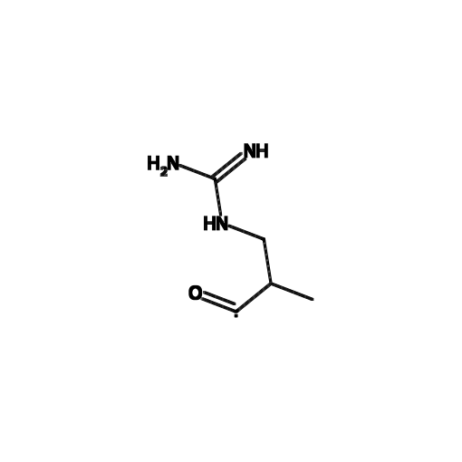 CC([C]=O)CNC(=N)N